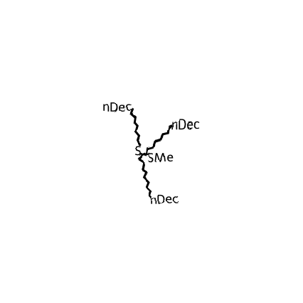 CCCCCCCCCCCCCCCCCCCS[C](CCCCCCCCCCCCCCCCCCC)C(CCCCCCCCCCCCCCCCC)SC